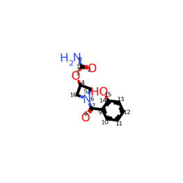 NC(=O)OC1CN(C(=O)c2ccccc2O)C1